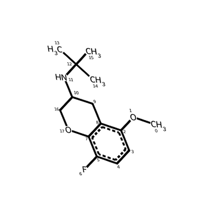 COc1ccc(F)c2c1CC(NC(C)(C)C)CO2